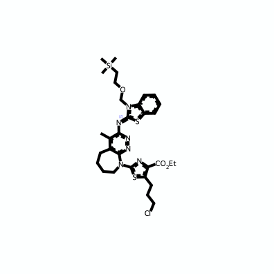 CCOC(=O)c1nc(N2CCCCc3c2nnc(/N=c2\sc4ccccc4n2COCC[Si](C)(C)C)c3C)sc1CCCCl